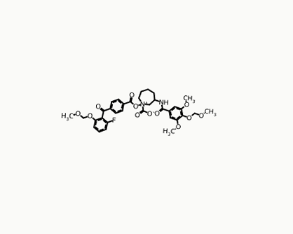 COCOc1cccc(F)c1C(=O)c1ccc(C(=O)O[N+]2(C(=O)[O-])CCCCC(NC(=O)c3cc(OC)c(OCOC)c(OC)c3)C2)cc1